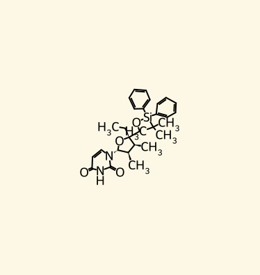 CC[C@]1(CO[Si](c2ccccc2)(c2ccccc2)C(C)(C)C)O[C@@H](n2ccc(=O)[nH]c2=O)[C@H](C)[C@@H]1C